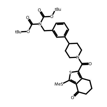 CSc1sc(C(=O)N2CCC(c3cccc(CN(C(=O)OC(C)(C)C)C(=O)OC(C)(C)C)c3)CC2)c2c1C(=O)CCC2